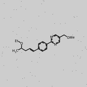 CCOC(C)CC=Cc1ccc(-c2ncc(COC)cn2)cc1